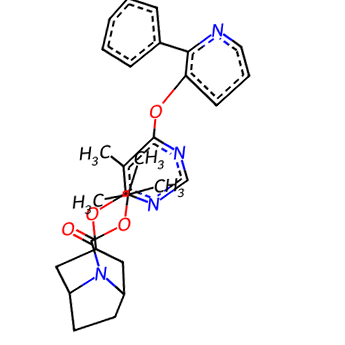 Cc1c(Oc2cccnc2-c2ccccc2)ncnc1OC1CC2CCC(C1)N2C(=O)OC(C)(C)C